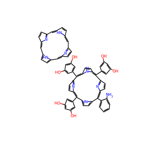 C1=Cc2cc3ccc(cc4nc(cc5ccc(cc1n2)[nH]5)C=C4)[nH]3.Nc1ccccc1-c1c2nc(c(-c3cc(O)cc(O)c3)c3ccc([nH]3)c(-c3cc(O)cc(O)c3)c3nc(c(-c4cc(O)cc(O)c4)c4ccc1[nH]4)C=C3)C=C2